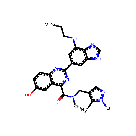 CCn1ncc(CN(C)C(=O)c2nc(-c3cc(NCCNC)c4nc[nH]c4c3)nc3ccc(O)cc23)c1C